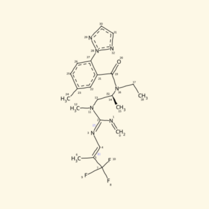 C=N/C(=N\C=C(/C)C(F)(F)F)N(C)C[C@H](C)N(CC)C(=O)c1cc(C)ccc1-n1nccn1